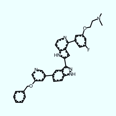 CN(C)CCOc1cc(F)cc(-c2nccc3[nH]c(-c4n[nH]c5ccc(-c6cncc(OCc7ccccc7)c6)cc45)cc23)c1